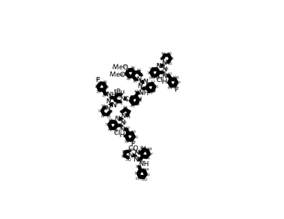 CC(C)(C)C1CN(C(=O)O)Cc2nc(N3CCCCC3)nc(NCc3ccc(F)cc3)c21.COc1cc2c(cc1OC)CN(c1nc(NCc3ccccc3)c3ccccc3n1)CC2.Fc1ccc(CNc2nc(N3CCCC3)nc3cccc(Cl)c23)cc1.Fc1ccc(CNc2nc(N3CCCCC3)nc3cccc(Cl)c23)cc1.O=C(O)C1CCCN1c1nc(NCc2ccccc2)c2ccccc2n1